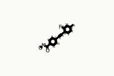 Cc1ccc(C#Cc2ccc(C(=O)N=O)cc2)c(F)c1